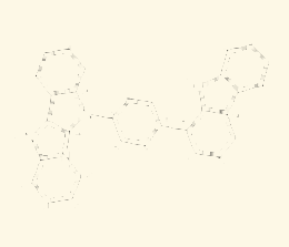 c1ccc2c(c1)oc1c(-c3ccc(-n4c5ccccc5c5nc6ccccn6c54)cc3)cccc12